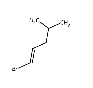 CC(C)CC=CBr